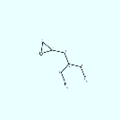 FCC(CF)CC1CO1